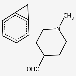 CN1CCC(C=O)CC1.c1ccc2c(c1)C2